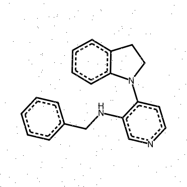 c1ccc(CNc2cnccc2N2CCc3ccccc32)cc1